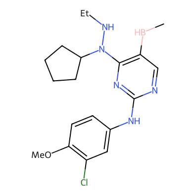 CBc1cnc(Nc2ccc(OC)c(Cl)c2)nc1N(NCC)C1CCCC1